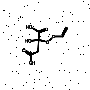 C=COOC(O)(CC(=O)O)C(=O)O